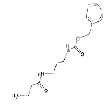 CCCC(=O)NCCCNC(=O)OCc1ccccc1